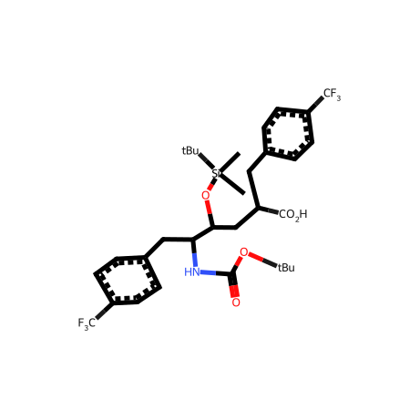 CC(C)(C)OC(=O)NC(Cc1ccc(C(F)(F)F)cc1)C(CC(Cc1ccc(C(F)(F)F)cc1)C(=O)O)O[Si](C)(C)C(C)(C)C